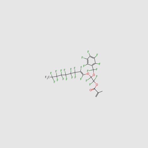 C=C(C)C(=O)OC(F)(F)C(F)(OC(F)=C(F)C(F)(F)C(F)(F)C(F)(F)C(F)(F)C(F)(F)C(F)(F)C(F)(F)F)OC(F)(F)c1c(F)c(F)c(F)c(F)c1F